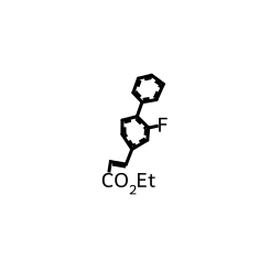 CCOC(=O)C=Cc1ccc(-c2ccccc2)c(F)c1